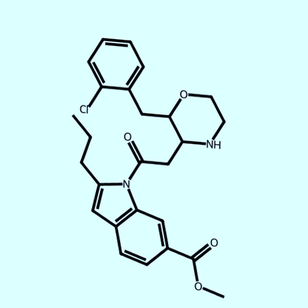 CCCc1cc2ccc(C(=O)OC)cc2n1C(=O)CC1NCCOC1Cc1ccccc1Cl